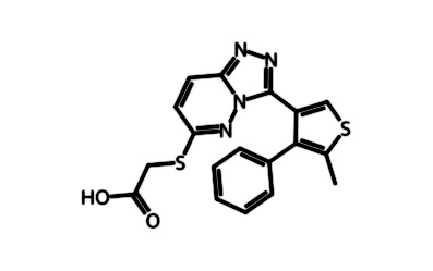 Cc1scc(-c2nnc3ccc(SCC(=O)O)nn23)c1-c1ccccc1